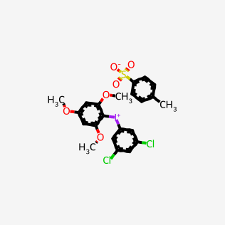 COc1cc(OC)c([I+]c2cc(Cl)cc(Cl)c2)c(OC)c1.Cc1ccc(S(=O)(=O)[O-])cc1